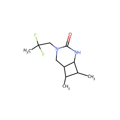 CC1C(C)C2NC(=O)N(CC(C)(F)F)CC12